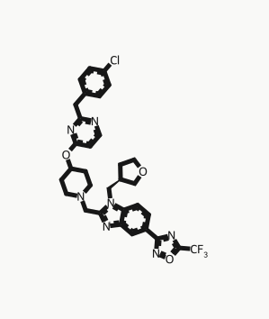 FC(F)(F)c1nc(-c2ccc3c(c2)nc(CN2CCC(Oc4ccnc(Cc5ccc(Cl)cc5)n4)CC2)n3C[C@H]2CCOC2)no1